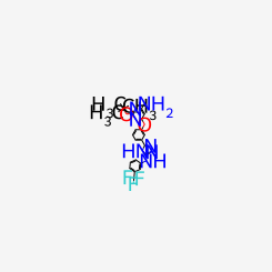 CC(C)(C)Oc1nc(N)cc(Oc2cccc(-c3nnc(Nc4cccc(C(F)(F)F)c4)[nH]3)c2)n1